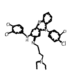 CCN(CC)CCCN=c1cc2n(-c3ccc(Cl)c(Cl)c3)c3ccccc3nc-2cc1Nc1ccc(Cl)c(Cl)c1